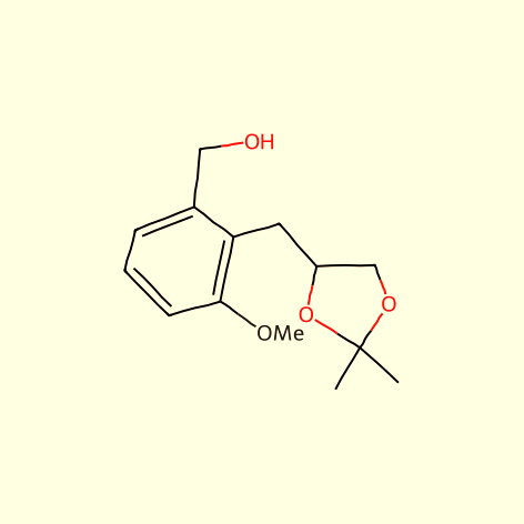 COc1cccc(CO)c1CC1COC(C)(C)O1